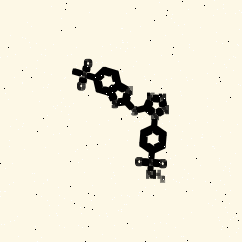 CS(=O)(=O)c1ccc2nc(Sc3nnnn3-c3ccc(S(N)(=O)=O)cc3)sc2c1